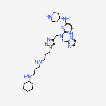 c1cc(NC2CCNCC2)nc(N(Cc2cn(CCCNCCCNC3CCCCC3)nn2)Cc2ncc[nH]2)n1